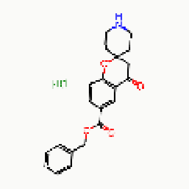 Cl.O=C(OCc1ccccc1)c1ccc2c(c1)C(=O)CC1(CCNCC1)O2